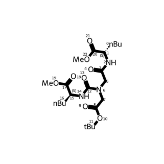 CCCC[C@H](NC(=O)CN(CC(=O)OC(C)(C)C)C(=O)N[C@@H](CCCC)C(=O)OC)C(=O)OC